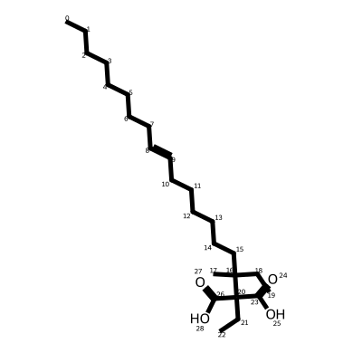 CCCCCCCCC=CCCCCCCC(C)(CC)C(CC)(C(=O)O)C(=O)O